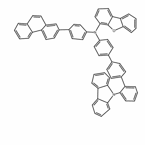 c1ccc(-n2c3ccccc3c3ccccc32)c(-c2ccc(-c3ccc(N(c4ccc(-c5ccc6c(ccc7ccccc76)c5)cc4)c4cccc5c4oc4ccccc45)cc3)cc2)c1